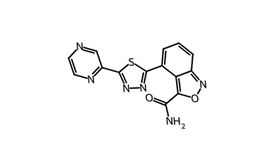 NC(=O)c1onc2cccc(-c3nnc(-c4cnccn4)s3)c12